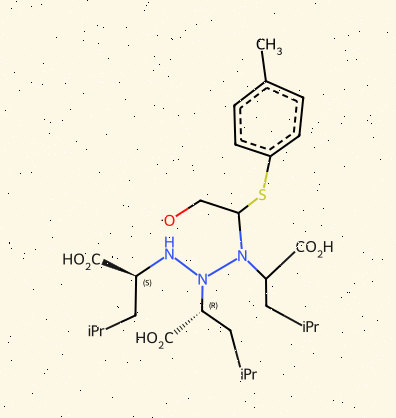 Cc1ccc(SC(C[O])N(C(CC(C)C)C(=O)O)N(N[C@@H](CC(C)C)C(=O)O)[C@H](CC(C)C)C(=O)O)cc1